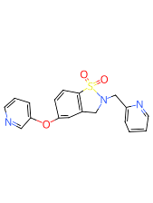 O=S1(=O)c2ccc(Oc3cccnc3)cc2CN1Cc1ccccn1